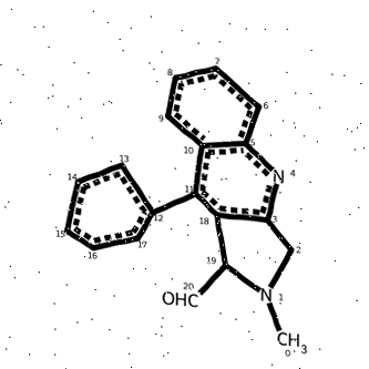 CN1Cc2nc3ccccc3c(-c3ccccc3)c2C1C=O